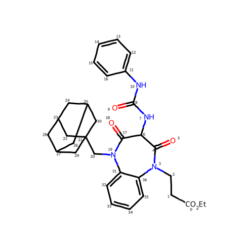 CCOC(=O)CCN1C(=O)C(NC(=O)Nc2ccccc2)C(=O)N(CC23CC4CC(CC(C4)C2)C3)c2ccccc21